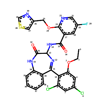 CCOc1cc(Cl)cc(Cl)c1C1=NC(NC(=O)c2cc(F)cnc2OCc2cscn2)C(=O)Nc2ccccc21